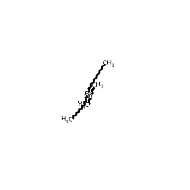 CCCCCCCCCCCCCCOCCCCCCCCCCCCCC.CCC[CH2][Sn][CH2]CCC